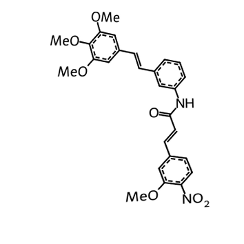 COc1cc(/C=C/C(=O)Nc2cccc(/C=C/c3cc(OC)c(OC)c(OC)c3)c2)ccc1[N+](=O)[O-]